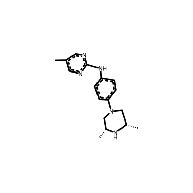 Cc1cnc(Nc2ccc(N3C[C@@H](C)N[C@@H](C)C3)cc2)nc1